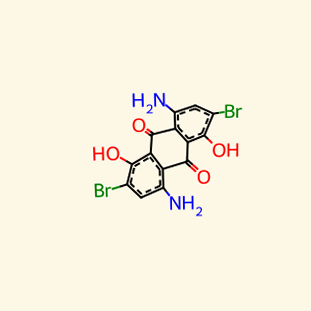 Nc1cc(Br)c(O)c2c1C(=O)c1c(O)c(Br)cc(N)c1C2=O